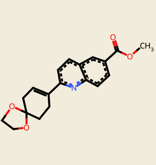 COC(=O)c1ccc2nc(C3=CCC4(CC3)OCCO4)ccc2c1